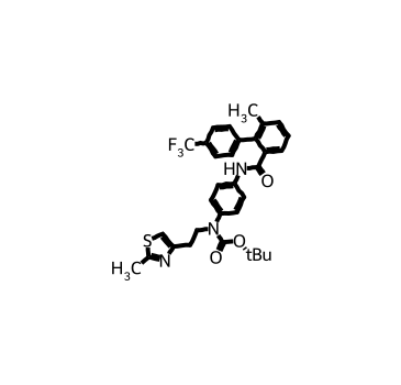 Cc1nc(CCN(C(=O)OC(C)(C)C)c2ccc(NC(=O)c3cccc(C)c3-c3ccc(C(F)(F)F)cc3)cc2)cs1